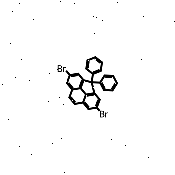 Brc1cc2c3c(ccc4cc(Br)cc(c43)C2(c2ccccc2)c2ccccc2)c1